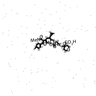 CNC(=O)c1c(-c2ccc(C)cc2)oc2nc(CN(CCCCC3(OC(=O)O)CCOCC3)[SH](=O)=O)c(C3CC3)cc12